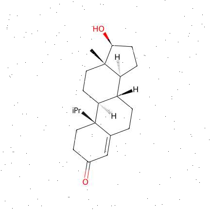 CC(C)[C@]12CCC(=O)C=C1CC[C@H]1[C@@H]3CC[C@H](O)[C@@]3(C)CC[C@@H]12